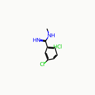 CNC(=N)c1cccc(Cl)c1.Cl